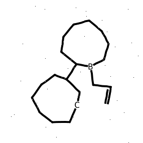 C=CCB1CCCCCCCC1C1CCCCCCCC1